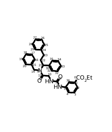 CCOC(=O)c1cccc(NC(=O)NCC(=O)N(Cc2ccccc2)C(CCc2ccccc2)c2ccccc2)c1